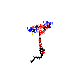 COP(=S)(OC[C@H]1O[C@@H](n2cnc3c(=S)[nH]c(N)nc32)C(O)C1O)OC1C(O)[C@H](n2cnc3c(=S)[nH]c(N)nc32)O[C@@H]1COP(=O)(O)O[C@H](CO)COCCOCCOCCOc1c(C)c(C)c2c(c1C)CC[C@@](C)(CCC[C@H](C)CCC[C@H](C)CCCC(C)C)O2